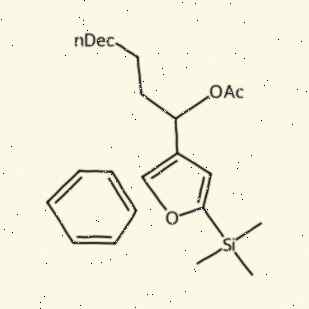 CCCCCCCCCCCCC(OC(C)=O)c1coc([Si](C)(C)C)c1.c1ccccc1